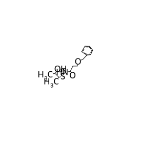 CC(O)C(C)SNC(=O)CCOCc1ccccc1